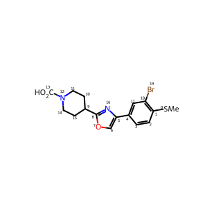 CSc1ccc(-c2coc(C3CCN(C(=O)O)CC3)n2)cc1Br